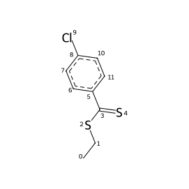 CCSC(=S)c1ccc(Cl)cc1